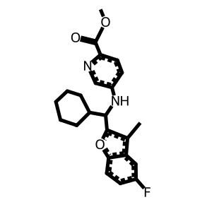 COC(=O)c1ccc(NC(c2oc3ccc(F)cc3c2C)C2CCCCC2)cn1